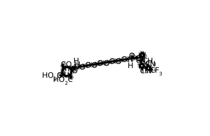 CN(C(=O)c1ccc(Cl)c(-c2cnc(C(F)(F)F)cc2C#N)c1)c1ccccc1OCCC(=O)NCCOCCOCCOCCOCCOCCOCCOCCOCCNC(=O)CN1CCN(CC(=O)O)CCN(CC(=O)O)CCN(CC(=O)O)CC1